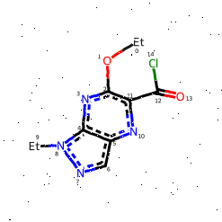 CCOc1nc2c(cnn2CC)nc1C(=O)Cl